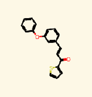 O=C(C=Cc1cccc(Oc2ccccc2)c1)c1cccs1